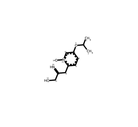 CC(C)Oc1ccc(CC(=N)CO)[n+]([O-])c1